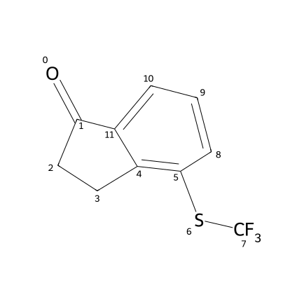 O=C1CCc2c(SC(F)(F)F)cccc21